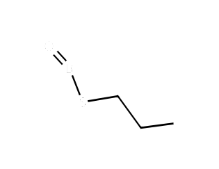 CCCSB=O